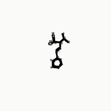 CC(C)C(/C=C/c1ccccc1)C(=O)Cl